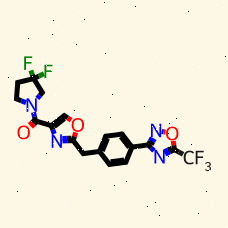 O=C(c1coc(Cc2ccc(-c3noc(C(F)(F)F)n3)cc2)n1)N1CCC(F)(F)C1